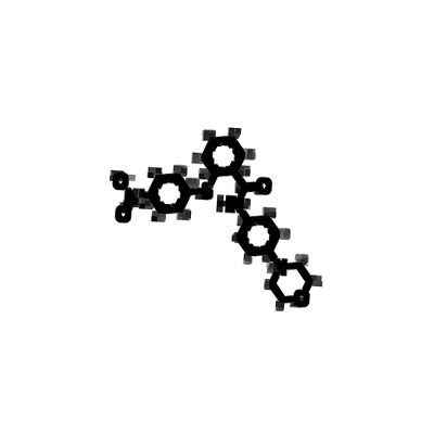 O=C(Nc1ccc(N2CCOCC2)cc1)c1ccccc1Sc1ccc([N+](=O)[O-])cc1